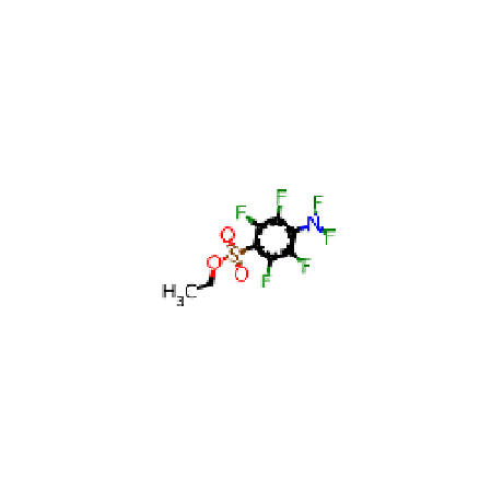 CCOS(=O)(=O)c1c(F)c(F)c(N(F)F)c(F)c1F